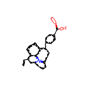 C=Cc1cc2ccc3cc(-c4ccc(C(=O)O)cc4)c4cccc1c4n23